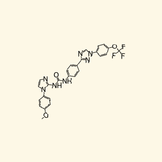 COc1ccc(-n2ccnc2NC(=O)Nc2ccc(-c3ncn(-c4ccc(OC(F)(F)F)cc4)n3)cc2)cc1